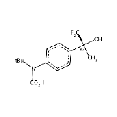 CC(C)(C)N(C(=O)O)c1ccc([C@@](C)(O)C(F)(F)F)cc1